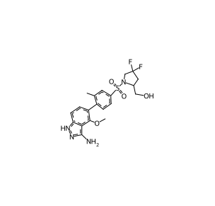 COc1c(-c2ccc(S(=O)(=O)N3CC(F)(F)CC3CO)cc2C)ccc2[nH]nc(N)c12